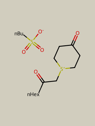 CCCCCCC(=O)C[S+]1CCC(=O)CC1.CCCCS(=O)(=O)[O-]